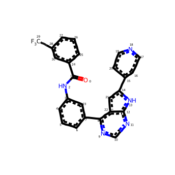 O=C(Nc1cccc(-c2ncnc3[nH]c(-c4ccncc4)cc23)c1)c1cccc(C(F)(F)F)c1